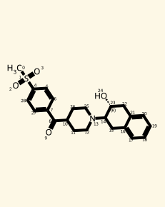 CS(=O)(=O)c1ccc(C(=O)C2CCN(C3Cc4ccccc4C[C@H]3O)CC2)cc1